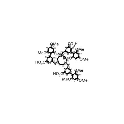 COc1cc(OC)c(-c2cc(CN3CCN(Cc4cc(-c5c(OC)cc(OC)cc5OC)cc(C(=O)O)n4)CCN(Cc4cc(-c5c(OC)cc(OC)cc5OC)cc(C(=O)O)n4)CC3)nc(C(=O)O)c2)c(OC)c1